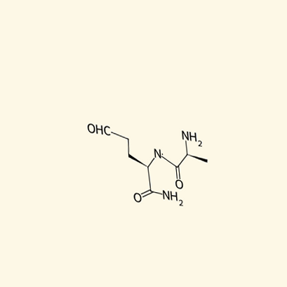 C[C@H](N)C(=O)[N][C@H](CCC=O)C(N)=O